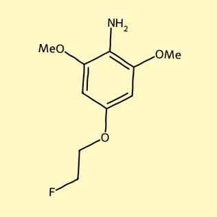 COc1cc(OCCF)cc(OC)c1N